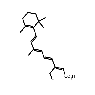 CC(C=CC1=C(C)CCCC1(C)C)=CC=CC(=CC(=O)O)CF